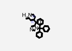 C=C/C=C(\C=C/N)C(=O)c1cncn1C(c1ccccc1)(c1ccccc1)c1ccccc1